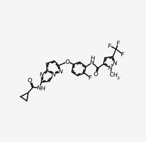 Cn1nc(C(F)(F)F)cc1C(=O)Nc1cc(Oc2ccc3nc(NC(=O)C4CC4)cn3n2)ccc1F